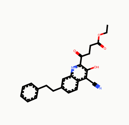 CCOC(=O)CCC(=O)c1nc2cc(CCc3ccccc3)ccc2c(C#N)c1O